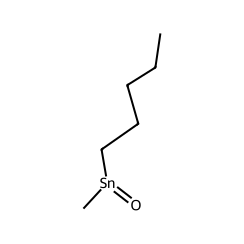 CCCC[CH2][Sn]([CH3])=[O]